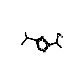 CC(C)c1cnn(C(C)P)n1